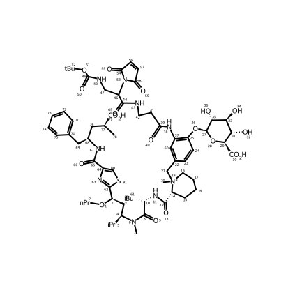 CCCO[C@H](C[C@H](C(C)C)N(C)C(=O)[C@@H](NC(=O)[C@H]1CCCC[N+]1(C)Cc1ccc(O[C@@H]2O[C@H](C(=O)O)[C@@H](O)[C@H](O)[C@H]2O)c(NC(=O)CCNC(=O)C(CNC(=O)OC(C)(C)C)N2C(=O)C=CC2=O)c1)[C@@H](C)CC)c1nc(C(=O)N[C@@H](Cc2ccccc2)C[C@H](C)C(=O)O)cs1